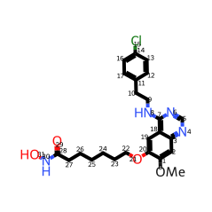 COc1cc2ncnc(NCCc3ccc(Cl)cc3)c2cc1OCCCCCCC(=O)NO